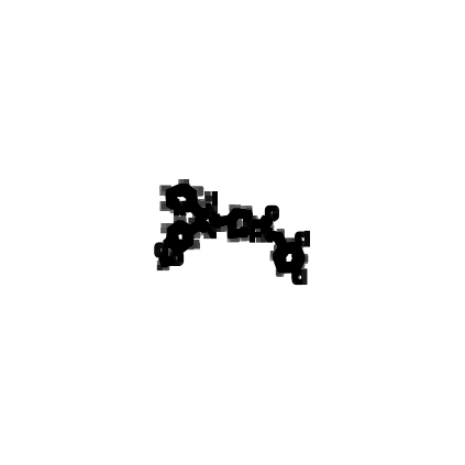 O=C(NCc1ccc(Cl)cc1Cl)N1CCC(c2nc(-c3ccc4c(c3)OCO4)c(-c3ccccn3)[nH]2)CC1